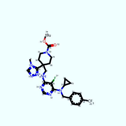 Cn1cnnc1C1(CNc2ncnc(N(Cc3ccc(C(F)(F)F)cc3)C3CC3)c2F)CCN(C(=O)OC(C)(C)C)CC1